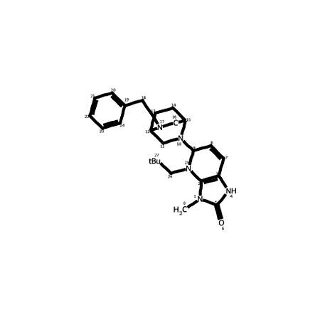 Cn1c2c([nH]c1=O)C=CC(N1CC3CCC1CN3Cc1ccccc1)N2CC(C)(C)C